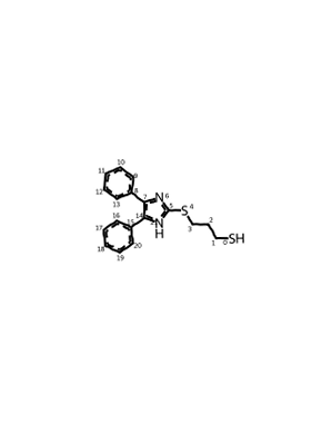 SCCCSc1nc(-c2ccccc2)c(-c2ccccc2)[nH]1